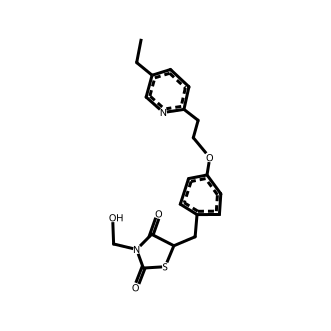 CCc1ccc(CCOc2ccc(CC3SC(=O)N(CO)C3=O)cc2)nc1